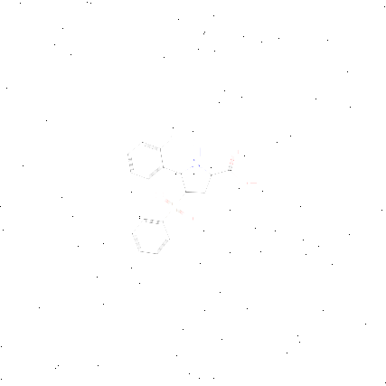 Cc1ccccc1C1NC(C(=O)O)CC1S(=O)(=O)c1ccccc1